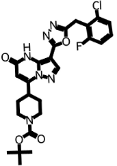 CC(C)(C)OC(=O)N1CCC(c2cc(=O)[nH]c3c(-c4nnc(Cc5c(F)cccc5Cl)o4)cnn23)CC1